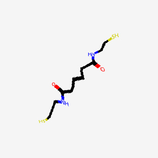 O=C(CCCCC(=O)NCCS)NCCS